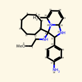 COCCNC1(C2CCCCCCC2)C(c2ccc(N)cc2)NC2C=CC=C(C)N21